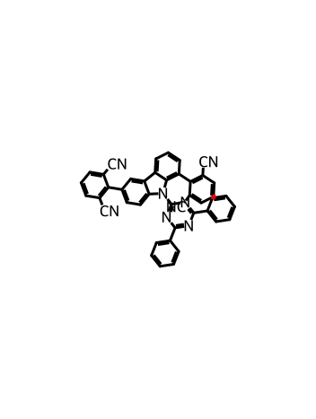 N#Cc1cccc(C#N)c1-c1ccc2c(c1)c1cccc(-c3c(C#N)cccc3C#N)c1n2-c1nc(-c2ccccc2)nc(-c2ccccc2)n1